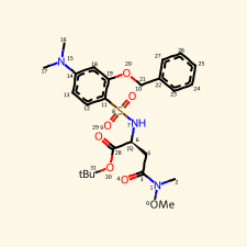 CON(C)C(=O)C[C@H](NS(=O)(=O)c1ccc(N(C)C)cc1OCc1ccccc1)C(=O)OC(C)(C)C